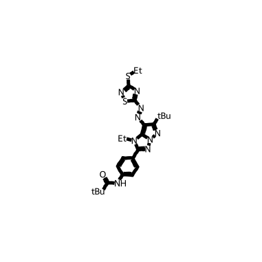 CCSc1nsc(N=Nc2c(C(C)(C)C)nn3nc(-c4ccc(NC(=O)C(C)(C)C)cc4)n(CC)c23)n1